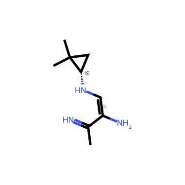 CC(=N)/C(N)=C\N[C@H]1CC1(C)C